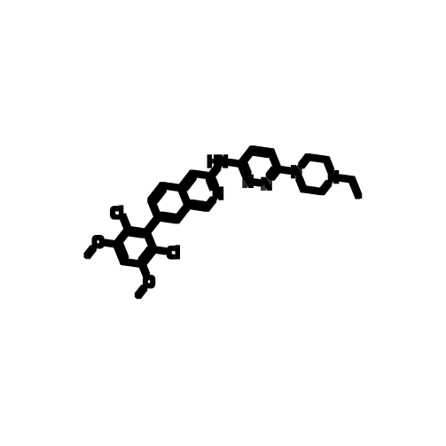 CCN1CCN(c2ccc(Nc3cc4ccc(-c5c(Cl)c(OC)cc(OC)c5Cl)cc4cn3)nn2)CC1